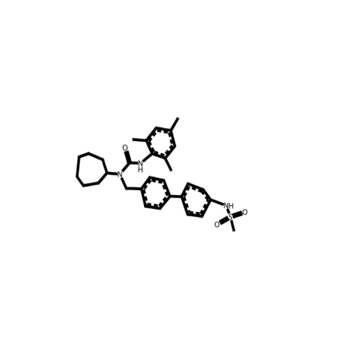 Cc1cc(C)c(NC(=O)N(Cc2ccc(-c3ccc(NS(C)(=O)=O)cc3)cc2)C2CCCCCC2)c(C)c1